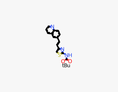 CC(C)(C)OC(=O)Nc1nc(C=Cc2ccc3ncccc3c2)cs1